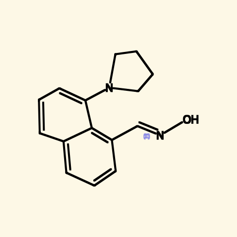 O/N=C/c1cccc2cccc(N3CCCC3)c12